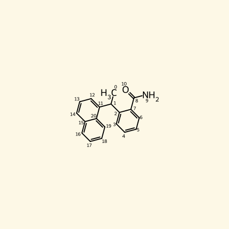 CC(c1ccccc1C(N)=O)c1cccc2ccccc12